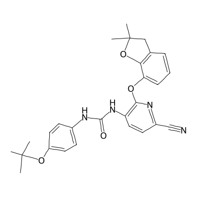 CC(C)(C)Oc1ccc(NC(=O)Nc2ccc(C#N)nc2Oc2cccc3c2OC(C)(C)C3)cc1